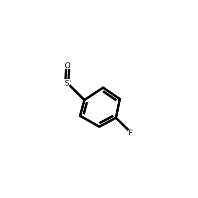 O=[S+]c1ccc(F)cc1